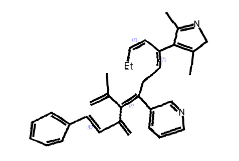 C=C(C)/C(C(=C)/C=C/c1ccccc1)=C(\C/C=C(\C=C/CC)C1=C(C)CN=C1C)c1cccnc1